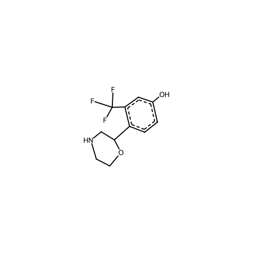 Oc1ccc(C2CNCCO2)c(C(F)(F)F)c1